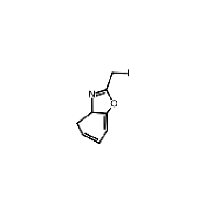 ICC1=NC2CC=CC=C2O1